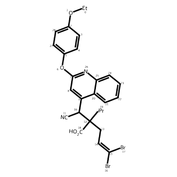 CCOc1ccc(Oc2cc(C(C#N)C(CC=C(Br)Br)(C(=O)O)C(C)C)c3ccccc3n2)cc1